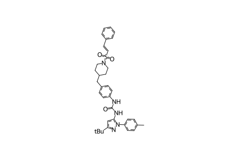 Cc1ccc(-n2nc(C(C)(C)C)cc2NC(=O)Nc2ccc(CC3CCN(S(=O)(=O)C=Cc4ccccc4)CC3)cc2)cc1